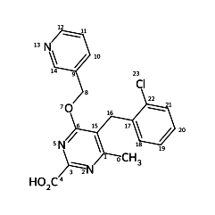 Cc1nc(C(=O)O)nc(OCc2cccnc2)c1Cc1ccccc1Cl